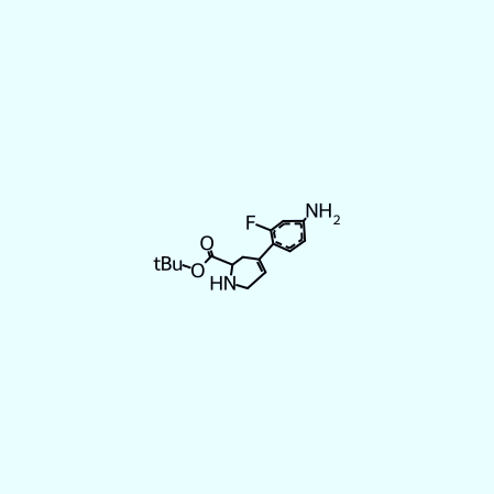 CC(C)(C)OC(=O)C1CC(c2ccc(N)cc2F)=CCN1